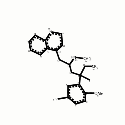 COc1ccc(F)cc1C(C)(CC(Cc1ccnc2ccccc12)NC=O)CC(F)(F)F